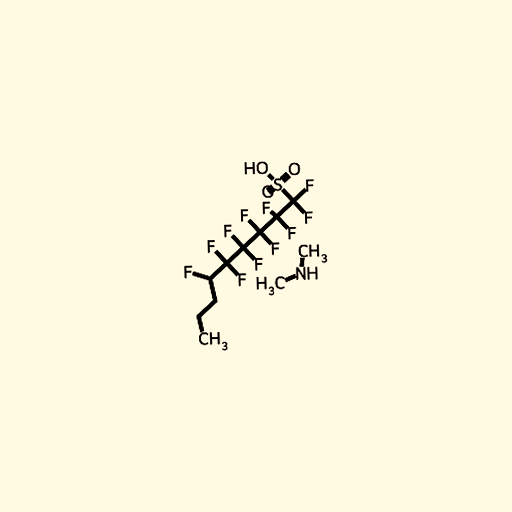 CCCC(F)C(F)(F)C(F)(F)C(F)(F)C(F)(F)C(F)(F)S(=O)(=O)O.CNC